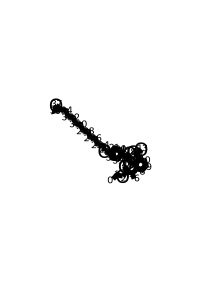 CCOC(=O)C(C)c1cccc(C(=O)O)c1OC(=O)c1ccc(OCCCCCCCCCCCC2CO2)cc1